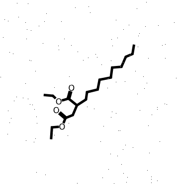 CCCCCCCCCCC(CC(=O)OCC)C(=O)OCC